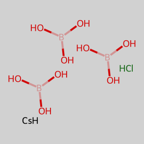 Cl.OB(O)O.OB(O)O.OB(O)O.[CsH]